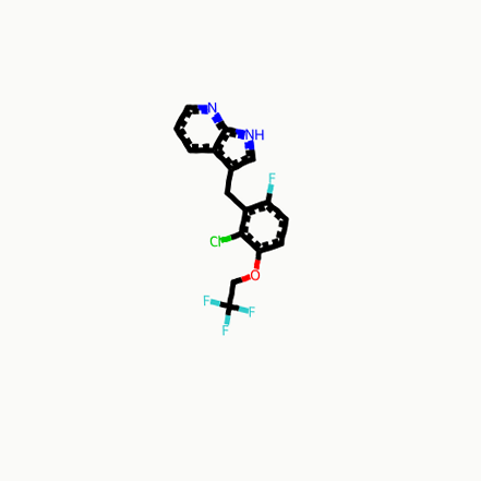 Fc1ccc(OCC(F)(F)F)c(Cl)c1Cc1c[nH]c2ncccc12